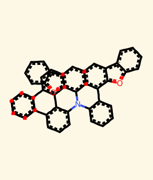 c1ccc(-c2ccccc2-c2c(-c3ccccc3)cccc2N(c2ccccc2-c2cccc3c2oc2ccccc23)c2cccc3c2oc2ccccc23)cc1